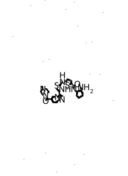 CN1CCN(C(=O)c2ccc3ncc(-c4csc(Nc5ccc(C(=O)Nc6ccccc6N)s5)n4)n3c2)CC1